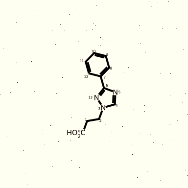 O=C(O)CCn1cnc(-c2ccccc2)n1